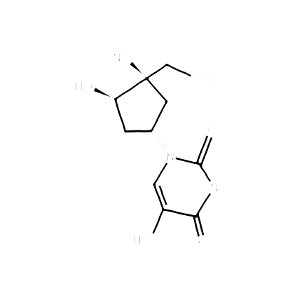 Cc1cn([C@@H]2C[C@@H](O)[C@](C#N)(CO)C2)c(=O)[nH]c1=O